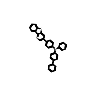 c1ccc(-c2ccc(N(c3ccccc3)c3ccc(-c4cnc5c(c4)sc4ccccc45)cc3)cc2)cc1